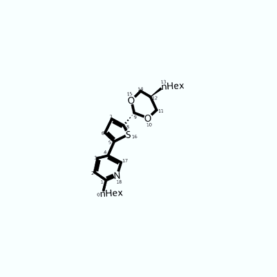 CCCCCCc1ccc(-c2ccc([C@H]3OC[C@H](CCCCCC)CO3)s2)cn1